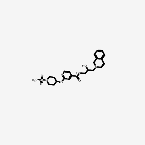 CS(=O)(=O)N1CCC(Oc2cc(C(=O)NCC(O)CN3CCc4ccccc4C3)ccn2)CC1